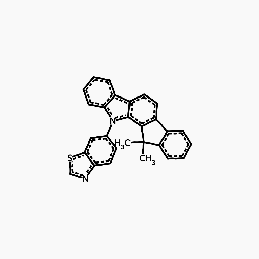 CC1(C)c2ccccc2-c2ccc3c4ccccc4n(-c4ccc5ncsc5c4)c3c21